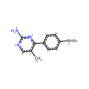 CC(=O)Nc1ccc(-c2nc(N)ncc2C)cc1